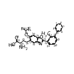 Cc1c(-c2ccccc2)cccc1-c1nc2cc(CC[C@H](N)C(=O)O)c(OC(F)F)cc2o1